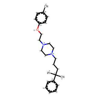 CC(C)C(C#N)(CCCN1CCN(CCOc2ccc(C#N)cc2)CC1)c1ccccc1